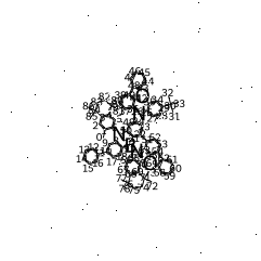 Cc1cc2c(cc1N1c3cc(-c4ccccc4)ccc3B3c4c(cc(N(c5ccc(C(C)(C)C)cc5)c5cccc6c5oc5ccccc56)cc41)-c1ccc4c(oc5ccccc54)c1N3c1ccc3c(c1)C(C)(C)CCC3(C)C)C(C)(C)CCC2(C)C